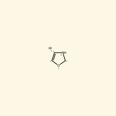 C1=COCN1.I